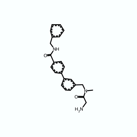 CN(Cc1cccc(-c2ccc(C(=O)NCc3ccccc3)cc2)c1)C(=O)CN